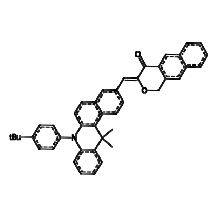 CC(C)(C)c1ccc(N2c3ccccc3C(C)(C)c3c2ccc2cc(C=C4OCc5cc6ccccc6cc5C4=O)ccc32)cc1